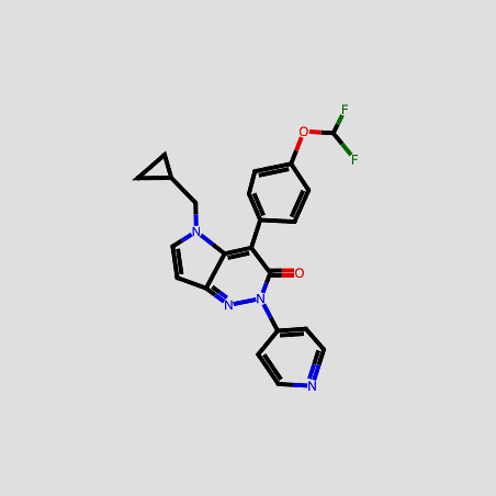 O=c1c(-c2ccc(OC(F)F)cc2)c2c(ccn2CC2CC2)nn1-c1ccncc1